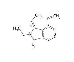 C=Cc1cccc2c1/C(=C\C)N(CC)C2=O